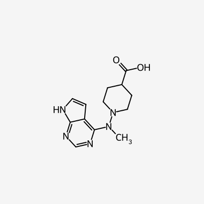 CN(c1ncnc2[nH]ccc12)N1CCC(C(=O)O)CC1